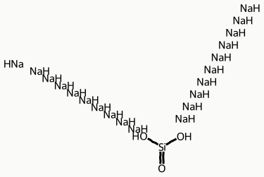 O=[Si](O)O.[NaH].[NaH].[NaH].[NaH].[NaH].[NaH].[NaH].[NaH].[NaH].[NaH].[NaH].[NaH].[NaH].[NaH].[NaH].[NaH].[NaH].[NaH].[NaH].[NaH]